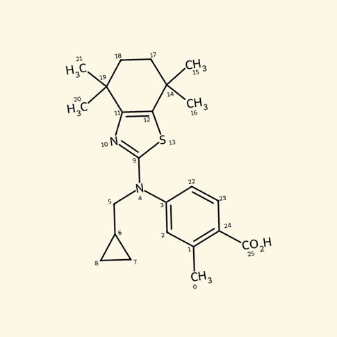 Cc1cc(N(CC2CC2)c2nc3c(s2)C(C)(C)CCC3(C)C)ccc1C(=O)O